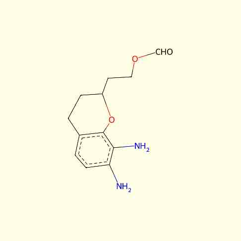 Nc1ccc2c(c1N)OC(CCOC=O)CC2